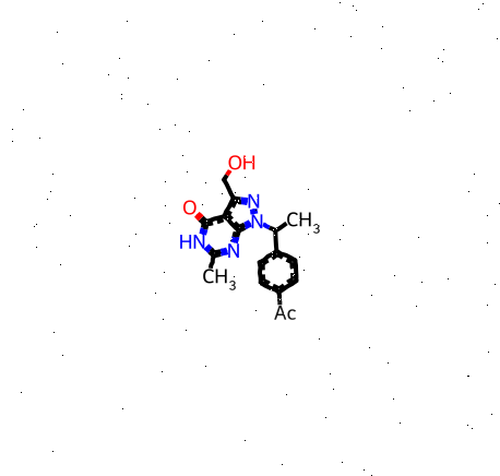 CC(=O)c1ccc(C(C)n2nc(CO)c3c(=O)[nH]c(C)nc32)cc1